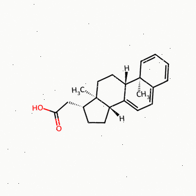 C[C@]12CC[C@H]3C(=CC=C4C=CC=C[C@@]43C)[C@@H]1CC[C@@H]2CC(=O)O